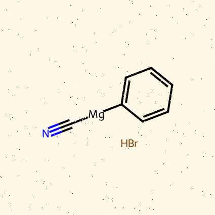 Br.N#[C][Mg][c]1ccccc1